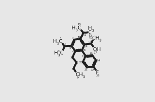 CCCCc1c(C(C)C)cc(C(C)C)c(C(C)O)c1-c1ccc(F)cc1